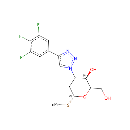 CCCS[C@@H]1CC(n2cc(-c3cc(F)c(F)c(F)c3)nn2)[C@@H](O)C(CO)O1